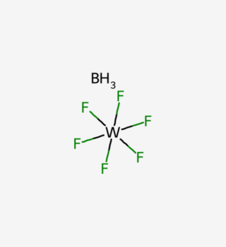 B.[F][W]([F])([F])([F])([F])[F]